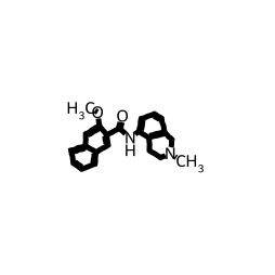 COc1cc2ccccc2cc1C(=O)Nc1cccc2c1CCN(C)C2